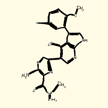 COc1ccc(F)cc1-c1c[nH]c2ncc(-c3cnc(N)c(C(=O)N(C)C)n3)c(Cl)c12